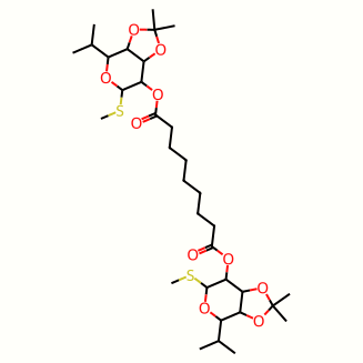 CSC1OC(C(C)C)C2OC(C)(C)OC2C1OC(=O)CCCCCCCC(=O)OC1C(SC)OC(C(C)C)C2OC(C)(C)OC12